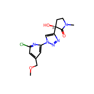 COCc1cc(Cl)nc(-n2cc([C@]3(O)CCN(C)C3=O)nn2)c1